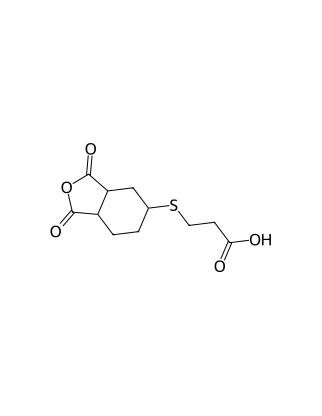 O=C(O)CCSC1CCC2C(=O)OC(=O)C2C1